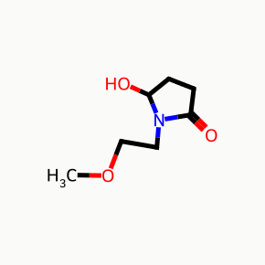 COCCN1C(=O)CCC1O